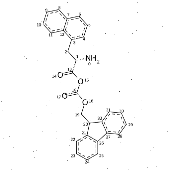 N[C@@H](Cc1cccc2ccccc12)C(=O)OC(=O)OCC1c2ccccc2-c2ccccc21